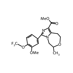 COC(=O)c1nc(-c2ccc(OC(F)(F)F)c(OC)c2)n2c1CCOC(C)C2